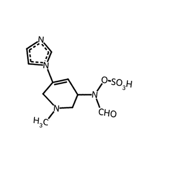 CN1CC(n2ccnc2)=CC(N(C=O)OS(=O)(=O)O)C1